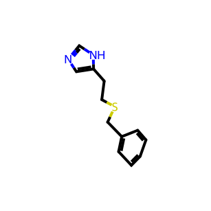 c1ccc(CSCCc2cnc[nH]2)cc1